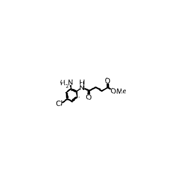 COC(=O)CCC(=O)Nc1[c]cc(Cl)cc1N